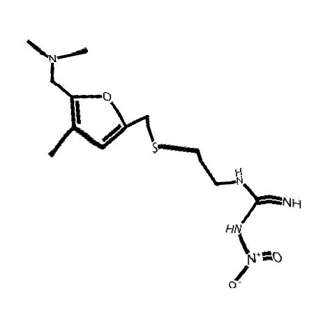 Cc1cc(CSCCNC(=N)N[N+](=O)[O-])oc1CN(C)C